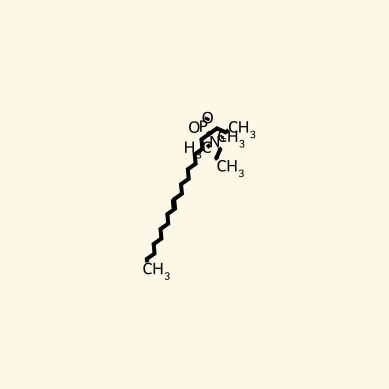 CCCCCCCCC=CCCCCCCCCC(CCC)(P(=O)=O)[N+](C)(C)CCC